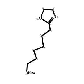 CCCCCCCCCCCCC1=NCCO1